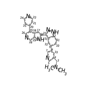 CN(C)Cc1cncc(-c2ccc3[nH]nc(-c4cc5c(-c6ccncc6)cncc5[nH]4)c3c2)c1